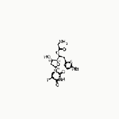 Cl.NCC(=O)OC(Cc1ccc(Br)s1)[C@H]1O[C@@H](n2cc(F)c(=O)[nH]c2=O)C[C@@H]1O